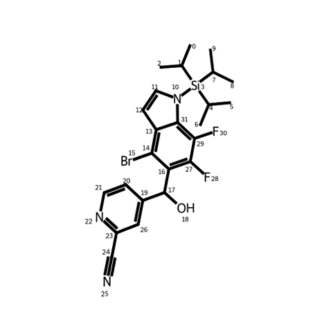 CC(C)[Si](C(C)C)(C(C)C)n1ccc2c(Br)c(C(O)c3ccnc(C#N)c3)c(F)c(F)c21